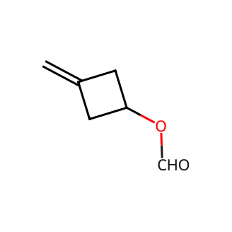 C=C1CC(OC=O)C1